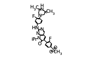 CC(C)n1c(=O)c(-c2ccc(S(C)(=O)=O)cc2F)cc2cnc(Nc3ccc(N4C[C@@H](C)N[C@@H](C)C4)c(F)c3)nc21